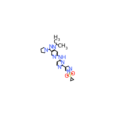 CC(C)n1nc(N2CCCC2)c2cnc(Nc3ccnc(-c4cnn(S(=O)(=O)C5CC5)c4)n3)cc21